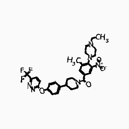 CCN1CCN(c2c(C)cc(C(=O)N3CCC(c4ccc(Oc5ccc(C(F)(F)F)nn5)cc4)CC3)cc2[N+](=O)[O-])CC1